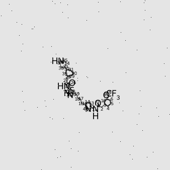 O=C(Cc1cccc(OC(F)(F)F)c1)Nc1ccc(CCCCc2nnc(NC(=O)Cc3cccc(C4CCNCC4)c3)s2)cn1